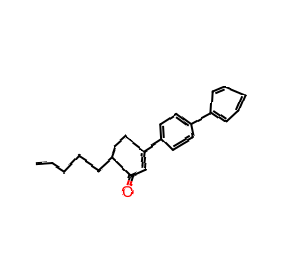 CCCCCC1CCC(c2ccc(-c3ccccc3)cc2)=CC1=O